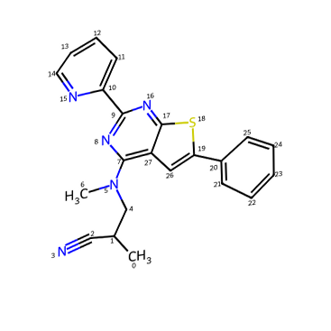 CC(C#N)CN(C)c1nc(-c2ccccn2)nc2sc(-c3ccccc3)cc12